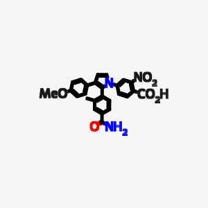 COc1ccc(-c2ccn(-c3ccc(C(=O)O)c([N+](=O)[O-])c3)c2-c2ccc(C(N)=O)cc2C)cc1